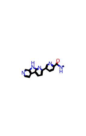 CNC(=O)c1ccc(-c2ccc3c(n2)[nH]c2cnccc23)cn1